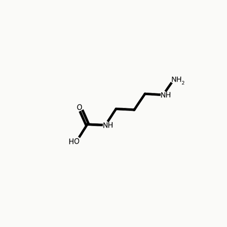 NNCCCNC(=O)O